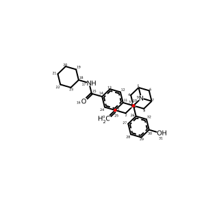 C=CCN1CC2CC(C1)N2C(c1ccc(C(=O)NC2CCCCC2)cc1)c1cccc(O)c1